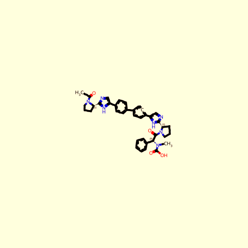 CC(=O)N1CCC[C@H]1c1ncc(-c2ccc(-c3ccc(-c4cnc([C@@H]5CCCN5C(=O)[C@@H](c5ccccc5)N(C)C(=O)O)[nH]4)cc3)cc2)[nH]1